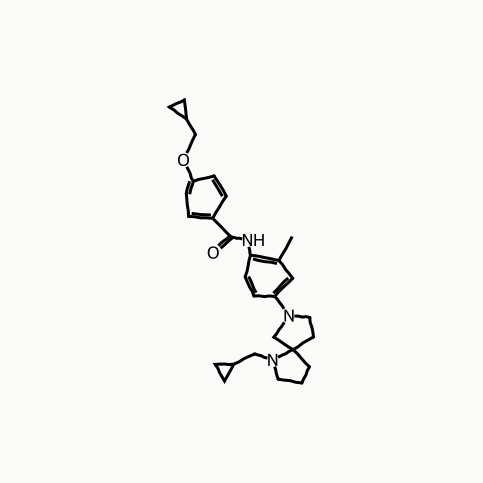 Cc1cc(N2CCC3(CCCN3CC3CC3)C2)ccc1NC(=O)c1ccc(OCC2CC2)cc1